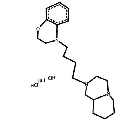 Cl.Cl.Cl.c1ccc2c(c1)OCCN2CCCCN1CCN2CCCCC2C1